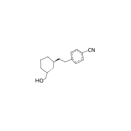 N#Cc1ccc(CC[C@@H]2CCCC(CO)C2)cc1